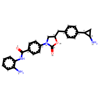 Nc1ccccc1NC(=O)c1ccc(N2CC(Cc3ccc(C4CC4N)cc3)OC2=O)cc1